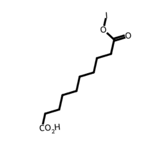 O=C(O)CCCCCCCCC(=O)OI